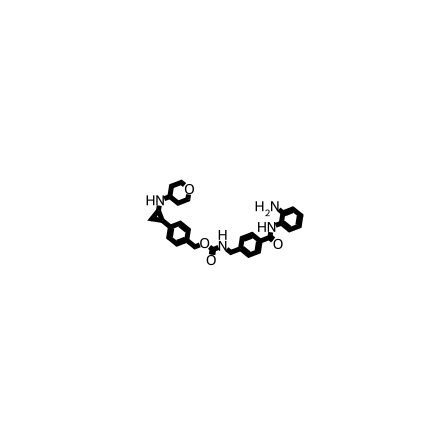 Nc1ccccc1NC(=O)c1ccc(CNC(=O)OCc2ccc(C3CC3NC3CCOCC3)cc2)cc1